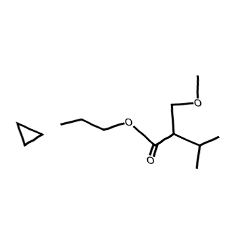 C1CC1.CCCOC(=O)C(COC)C(C)C